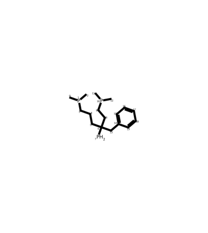 CP(C)CCCC(P)(CCP(C)C)Cc1ccccc1